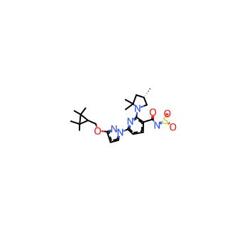 C[C@@H]1CN(c2nc(-n3ccc(OCC4C(C)(C)C4(C)C)n3)ccc2C(=O)N=S(=O)=O)C(C)(C)C1